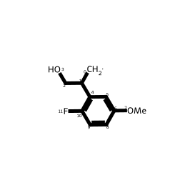 [CH2]C(CO)c1cc(OC)ccc1F